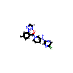 Cc1ccc(C(=O)N2CCC[C@@H](Nc3cnc(Cl)cn3)C2)c(-n2nccn2)c1